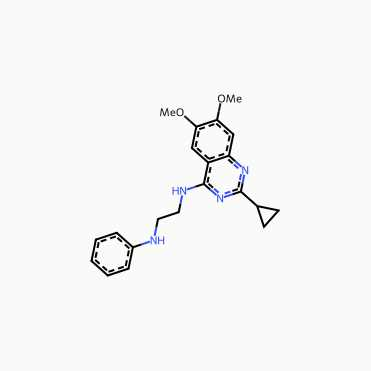 COc1cc2nc(C3CC3)nc(NCCNc3ccccc3)c2cc1OC